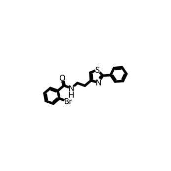 O=C(NCCc1csc(-c2ccccc2)n1)c1ccccc1Br